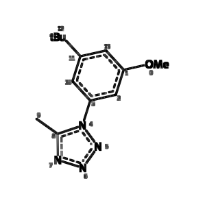 COc1cc(-n2nnnc2C)cc(C(C)(C)C)c1